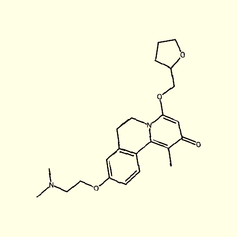 Cc1c2n(c(OCC3CCCO3)cc1=O)CCc1cc(OCCN(C)C)ccc1-2